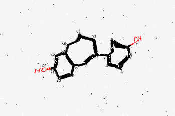 Oc1cccc(C2=Cc3ccc(O)cc3CCC2)c1